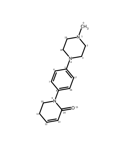 CN1CCN(c2ccc(N3CCC=CC3=O)cc2)CC1